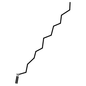 C=NCCCCCCCCCCCC